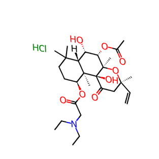 C=C[C@@]1(C)CC(=O)[C@]2(O)[C@@]3(C)[C@@H](OC(=O)CN(CC)CC)CCC(C)(C)[C@@H]3[C@H](O)[C@H](OC(C)=O)[C@@]2(C)O1.Cl